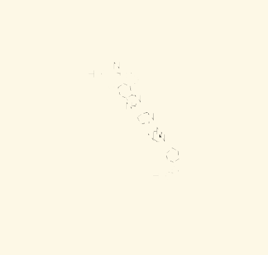 COc1ccc(Cn2cnc(-c3ncc(-c4nc5cc(OC(C)C(N)=O)cc6c5n4CCCCO6)cc3F)n2)cc1